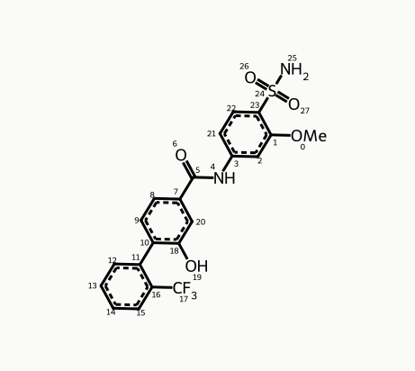 COc1cc(NC(=O)c2ccc(-c3ccccc3C(F)(F)F)c(O)c2)ccc1S(N)(=O)=O